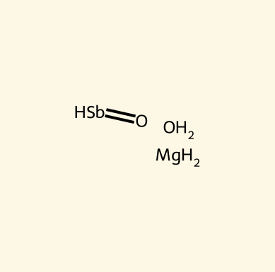 O.[MgH2].[O]=[SbH]